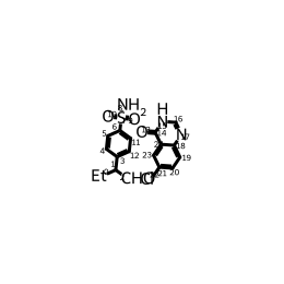 CCC(C=O)c1ccc(S(N)(=O)=O)cc1.O=c1[nH]cnc2ccc(Cl)cc12